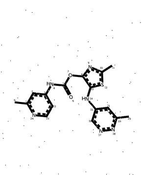 Cc1cc(NC(=O)Oc2nc(C)sc2Nc2cnnc(C)c2)ccn1